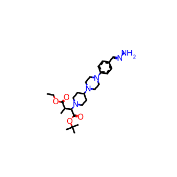 CCOC(=O)C(C)C(C(=O)OC(C)(C)C)N1CCC(N2CCN(c3ccc(C=NN)cc3)CC2)CC1